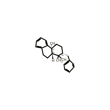 CC1(C)[C@@H](Cc2ccccc2)CC[C@]2(C)c3ccccc3CC[C@@H]12